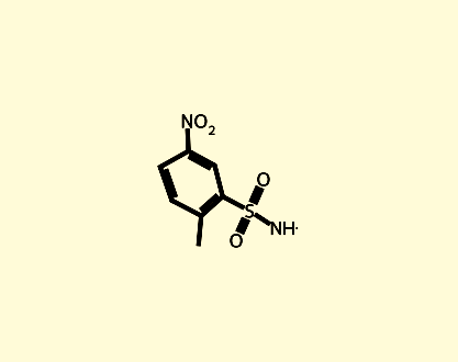 Cc1ccc([N+](=O)[O-])cc1S([NH])(=O)=O